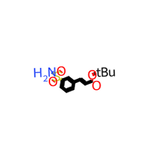 CC(C)(C)OC(=O)C=Cc1cccc(S(N)(=O)=O)c1